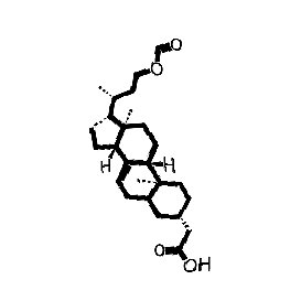 C[C@H](CCOC=O)[C@H]1CC[C@H]2C3=CCC4C[C@@H](CC(=O)O)CC[C@]4(C)[C@H]3CC[C@]12C